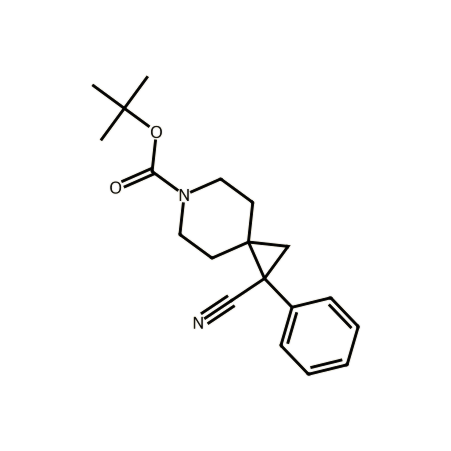 CC(C)(C)OC(=O)N1CCC2(CC1)CC2(C#N)c1ccccc1